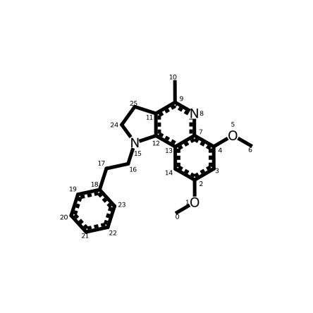 COc1cc(OC)c2nc(C)c3c(c2c1)N(CCc1ccccc1)CC3